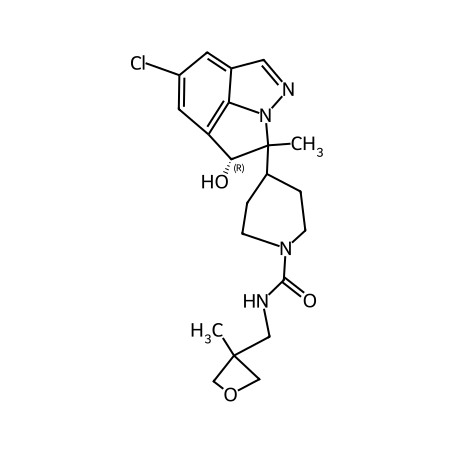 CC1(CNC(=O)N2CCC(C3(C)[C@H](O)c4cc(Cl)cc5cnn3c45)CC2)COC1